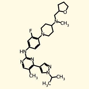 Cc1cnc(Nc2ccc(N3CCC(N(C)CC4CCCO4)CC3)c(F)c2)nc1-c1cnn(C(C)C)c1